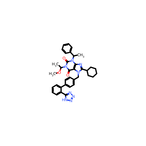 COC(C)n1c(=O)c2c(nc(C3CCCCC3)n2Cc2ccc(-c3ccccc3-c3nnn[nH]3)cc2)n(C(C)c2ccccc2)c1=O